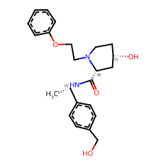 C[C@H](NC(=O)[C@H]1C[C@@H](O)CCN1CCOc1ccccc1)c1ccc(CO)cc1